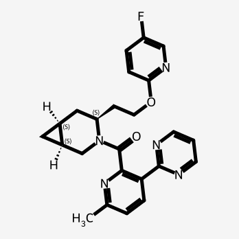 Cc1ccc(-c2ncccn2)c(C(=O)N2C[C@H]3C[C@H]3C[C@H]2CCOc2ccc(F)cn2)n1